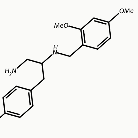 COc1ccc(CNC(CN)Cc2ccc(Cl)cc2)c(OC)c1